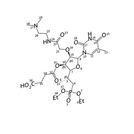 CCOP(=O)(C[C@H](C)C1OC(n2cc(C)c(=O)[nH]c2=O)[C@H](OCC(=O)NCCN(C)C)[C@@H]1OC(=O)CCC(=O)O)OCC